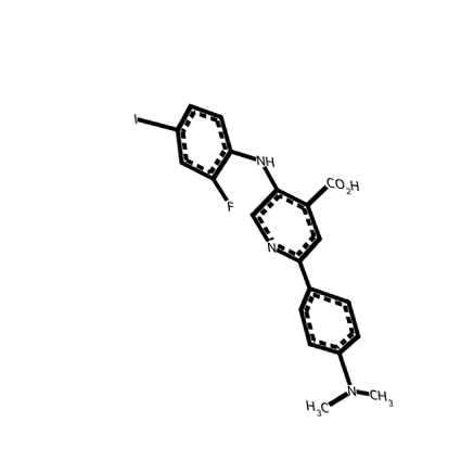 CN(C)c1ccc(-c2cc(C(=O)O)c(Nc3ccc(I)cc3F)cn2)cc1